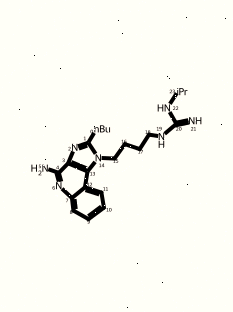 CCCCc1nc2c(N)nc3ccccc3c2n1CCCCNC(=N)NC(C)C